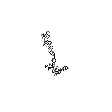 O=C1CC[C@H](c2noc3c(NC(=O)CN4CCN(CC5CCC(n6cc(NC(=O)c7cnn8ccc(N9CC%10CCC(C9)O%10)nc78)c(C(F)F)n6)CC5)CC4)cccc23)C(=O)N1